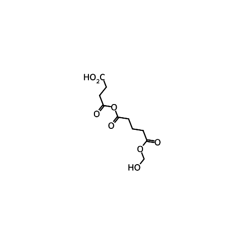 O=C(O)CCC(=O)OC(=O)CCCC(=O)OCO